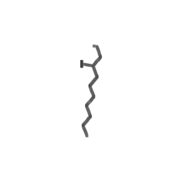 [CH2]CC(I)CCCCCCC